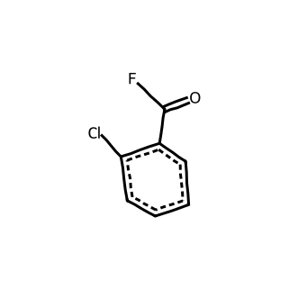 O=C(F)c1ccccc1Cl